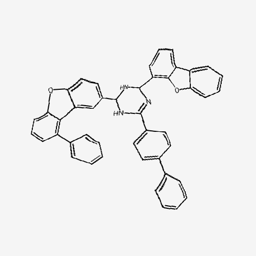 c1ccc(-c2ccc(C3=NC(c4cccc5c4oc4ccccc45)NC(c4ccc5oc6cccc(-c7ccccc7)c6c5c4)N3)cc2)cc1